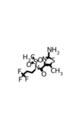 Cc1sc(N)nc1C(=O)N(CCC(F)(F)F)S(C)(=O)=O